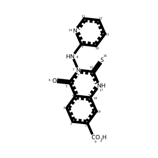 O=C(O)c1ccc2c(=O)n(Nc3ccccn3)c(=S)[nH]c2c1